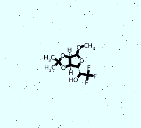 COC1O[C@H](C(O)C(F)(F)F)[C@H]2OC(C)(C)O[C@@H]12